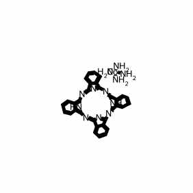 [NH2][Co]([NH2])([NH2])[NH2].c1ccc2c(c1)-c1nc-2nc2[nH]c(nc3nc(nc4[nH]c(n1)c1ccccc41)-c1ccccc1-3)c1ccccc21